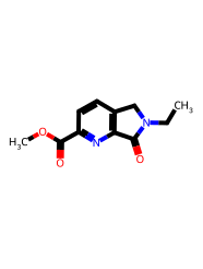 CCN1Cc2ccc(C(=O)OC)nc2C1=O